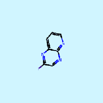 Ic1cnc2ncccc2n1